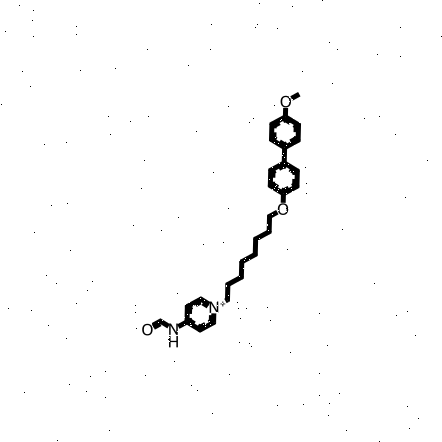 COc1ccc(-c2ccc(OCCCCCCCC[n+]3ccc(NC=O)cc3)cc2)cc1